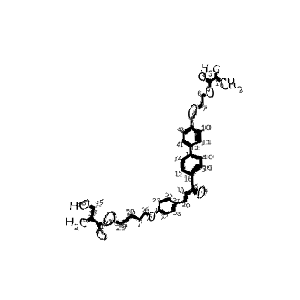 C=C(C)C(=O)OCCOc1ccc(-c2ccc(C(=O)/C=C/c3ccc(OCCCCOC(=O)C(=C)CO)cc3)cc2)cc1